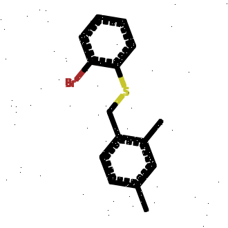 Cc1ccc(CSc2ccccc2Br)c(C)c1